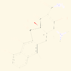 Cc1c2c(c(O)c3c(O)cccc13)C(=O)[C@]1(O)C(=O)C(C(N)=O)=C(O)[C@H](N(C)C)[C@H]1C2